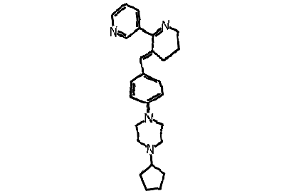 C(=C1CCCN=C1c1cccnc1)c1ccc(N2CCN(C3CCCC3)CC2)cc1